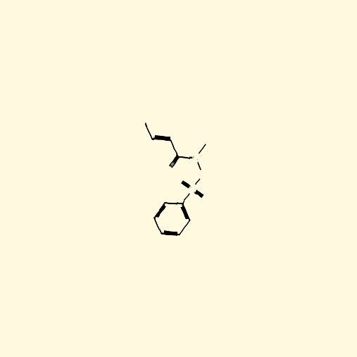 CC=CC(=O)N(C)OS(=O)(=O)c1ccccc1